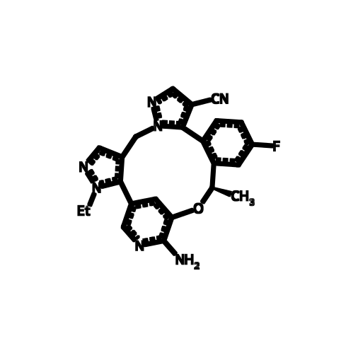 CCn1ncc2c1-c1cnc(N)c(c1)O[C@H](C)c1cc(F)ccc1-c1c(C#N)cnn1C2